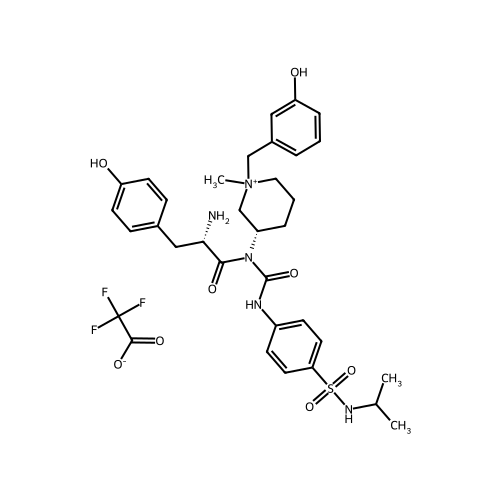 CC(C)NS(=O)(=O)c1ccc(NC(=O)N(C(=O)[C@@H](N)Cc2ccc(O)cc2)[C@H]2CCC[N+](C)(Cc3cccc(O)c3)C2)cc1.O=C([O-])C(F)(F)F